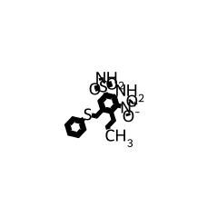 CCCc1c(CSc2ccccc2)cc(S(N)(=O)=O)c(N)c1[N+](=O)[O-]